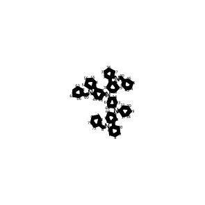 c1ccc(Cn2c3ccccc3c3cc(N(c4ccccc4)c4ccc(N(c5ccc6c(c5)c5ccccc5n6Cc5ccccc5)c5ccc6c(c5)c5ccccc5n6Cc5ccccc5)cc4)ccc32)cc1